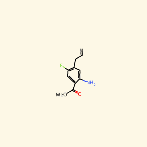 C=CCc1cc(N)c(C(=O)OC)cc1F